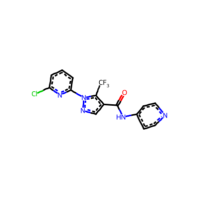 O=C(Nc1ccncc1)c1cnn(-c2cccc(Cl)n2)c1C(F)(F)F